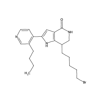 CCCCc1cnccc1-c1cc2c([nH]1)C(CCCCCBr)CNC2=O